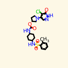 Cc1ccccc1S(=O)(=O)NC1CCC(NC(=O)O[C@@H]2CCN(c3cn[nH]c(=O)c3Cl)C2)CC1